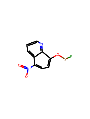 O=[N+]([O-])c1ccc(OSF)c2ncccc12